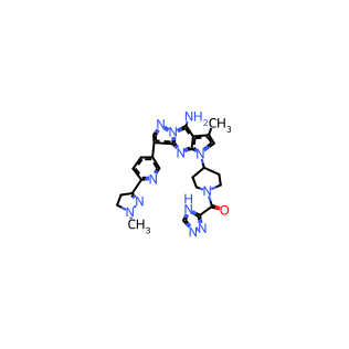 Cc1cn(C2CCN(C(=O)c3nnc[nH]3)CC2)c2nc3c(-c4ccc(C5=NN(C)CC5)nc4)cnn3c(N)c12